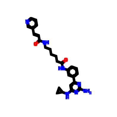 Nc1nc(NC2CC2)cc(-c2cccc(NC(=O)CCCCCNC(=O)C=Cc3cccnc3)c2)n1